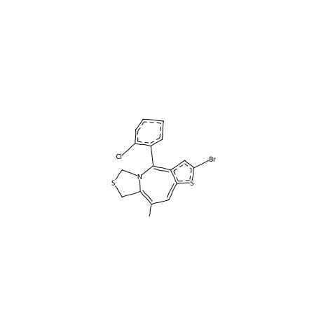 CC1=C2CSCN2C(c2ccccc2Cl)=c2cc(Br)sc2=C1